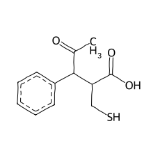 CC(=O)C(c1ccccc1)C(CS)C(=O)O